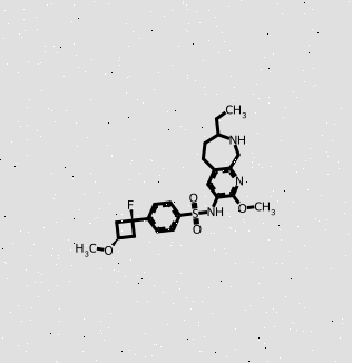 CCC1CCc2cc(NS(=O)(=O)c3ccc([C@]4(F)C[C@@H](OC)C4)cc3)c(OC)nc2CN1